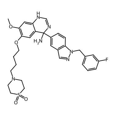 COc1cc2c(cc1OCCCCN1CCS(=O)(=O)CC1)C(N)(c1ccc3c(cnn3Cc3cccc(F)c3)c1)N=CN2